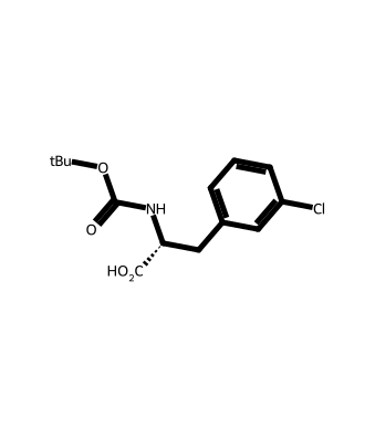 CC(C)(C)OC(=O)N[C@H](Cc1cccc(Cl)c1)C(=O)O